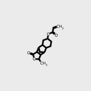 C=CC(=O)OC1CCC2C(C1)C1CC2C2C(C)OC(=O)C12